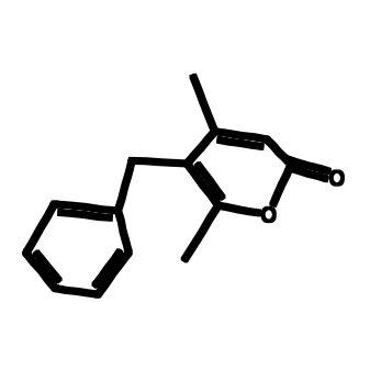 Cc1cc(=O)oc(C)c1Cc1ccccc1